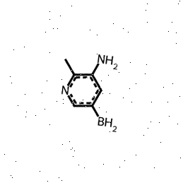 Bc1cnc(C)c(N)c1